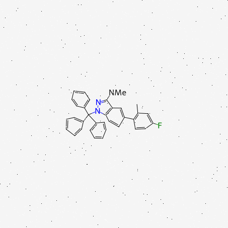 CNc1nn(C(c2ccccc2)(c2ccccc2)c2ccccc2)c2ccc(-c3ccc(F)cc3C)cc12